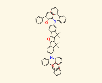 CC1(C)c2cc(N(c3ccccc3-c3ccccc3)c3cccc4c3oc3ccccc34)ccc2-c2oc3c(c21)C(C)(C)c1cc(N(c2ccccc2-c2ccccc2)c2cccc4c2oc2ccccc24)ccc1-3